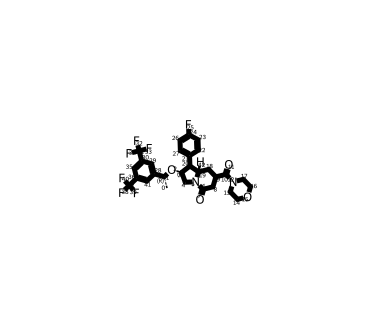 C[C@@H](O[C@H]1CN2C(=O)CC(C(=O)N3CCOCC3)C[C@H]2C1c1ccc(F)cc1)c1cc(C(F)(F)F)cc(C(F)(F)F)c1